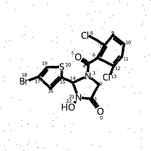 O=C1CN(C(=O)c2c(Cl)cccc2Cl)C(c2cc(Br)cs2)N1O